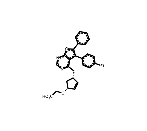 CCc1ccc(-c2c(-c3ccccc3)oc3ncnc(C[C@@H]4C=C[C@H](OCC(=O)O)C4)c23)cc1